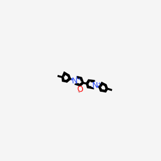 COc1c[n+](-c2ccc(C)cc2)ccc1-c1cc[n+](-c2ccc(C)cc2)cc1